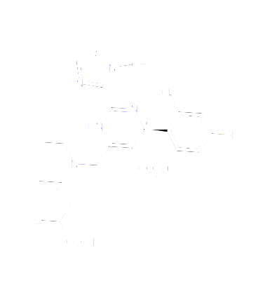 CCOC(=O)C1=C(CN2CCSC[C@H]2CC(C)C(=O)O)NC(c2nccn2C)=N[C@H]1c1ccc(F)cc1Cl